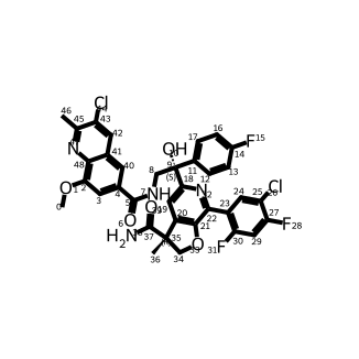 COc1cc(C(=O)NC[C@@](O)(c2ccc(F)cc2)c2cc3c(c(-c4cc(Cl)c(F)cc4F)n2)OC[C@]3(C)C(N)=O)cc2cc(Cl)c(C)nc12